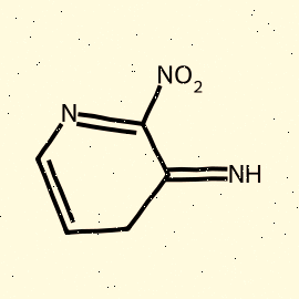 N=C1CC=CN=C1[N+](=O)[O-]